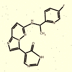 CC(Nc1ccc2ncc(-c3cnc[nH]c3=O)n2n1)c1ccc(F)cn1